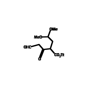 CCOC(=O)C(CC(OC)OC)C(=O)CC=O